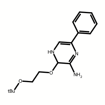 CC(C)(C)OCCOC1N[C]=C(c2ccccc2)N=C1N